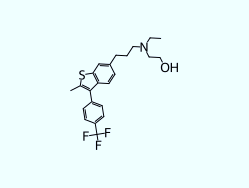 CCN(CCO)CCCc1ccc2c(-c3ccc(C(F)(F)F)cc3)c(C)sc2c1